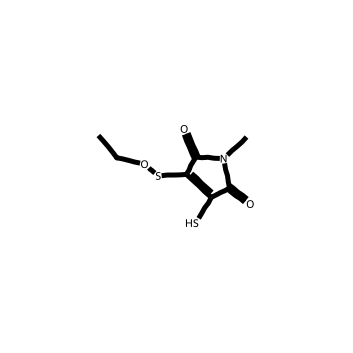 CCOSC1=C(S)C(=O)N(C)C1=O